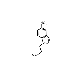 COCCn1ccc2cc([N+](=O)[O-])ccc21